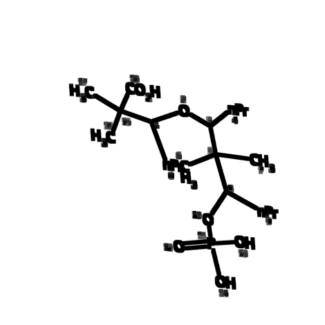 CCCC(OC(CCC)C(C)(C)C(CCC)OP(=O)(O)O)C(C)(C)C(=O)O